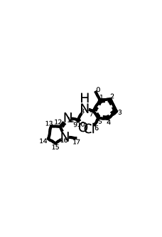 Cc1cccc(Cl)c1NC(=O)/N=C1/CCCN1C